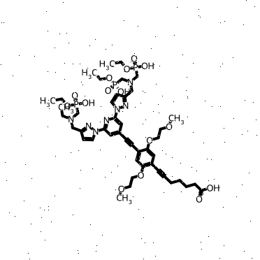 CCOP(=O)(O)CN(CC)Cc1ccn(-c2cc(C#Cc3cc(OCCOC)c(C#CCCCCC(=O)O)cc3OCCOC)cc(-n3ccc(CN(CP(=O)(O)OCC)CP(=O)(O)OCC)n3)n2)n1